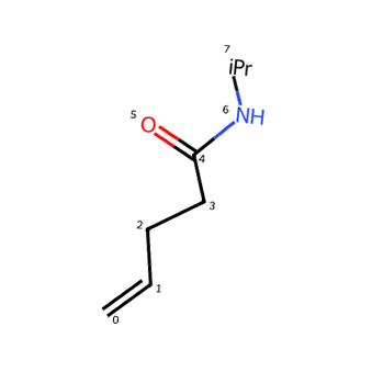 C=CCCC(=O)NC(C)C